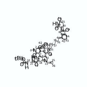 Cn1ccc2c(c1=O)C1=C3C(=CN(CC4CC4)C3CC(C(=O)NCCNC(=O)OC(C)(C)C)N1)C(C(=O)NCCCCCCc1cccc3c1CN(C1CCC(=O)NC1=O)C3=O)=C2CS(C)(=O)=O